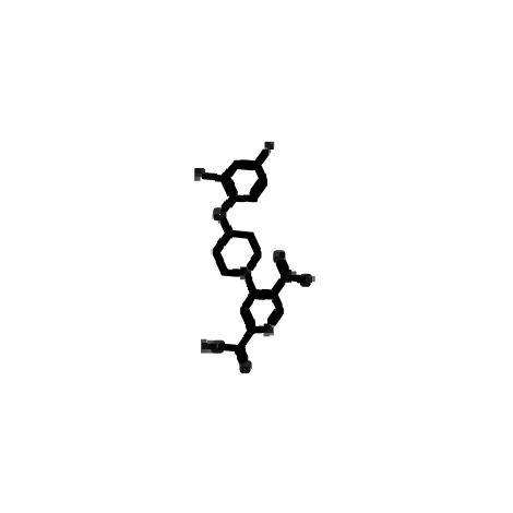 O=C(O)c1cc(N2CCC(Oc3ccc(F)cc3F)CC2)c([N+](=O)[O-])cn1